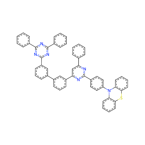 c1ccc(-c2cc(-c3cccc(-c4cccc(-c5nc(-c6ccccc6)nc(-c6ccccc6)n5)c4)c3)nc(-c3ccc(N4c5ccccc5Sc5ccccc54)cc3)n2)cc1